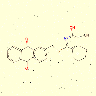 N#Cc1c(O)nc(SCc2ccc3c(c2)C(=O)c2ccccc2C3=O)c2c1CCCC2